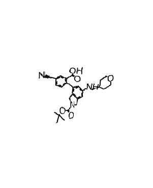 CC(C)(C)OC(=O)N1Cc2cc(NCC3CCOCC3)cc(-c3ccc(C#N)cc3C(=O)O)c2C1